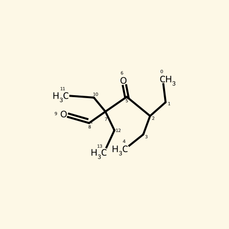 CCC(CC)C(=O)C([C]=O)(CC)CC